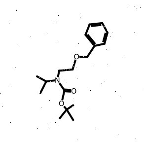 CC(C)N(CCOCc1ccccc1)C(=O)OC(C)(C)C